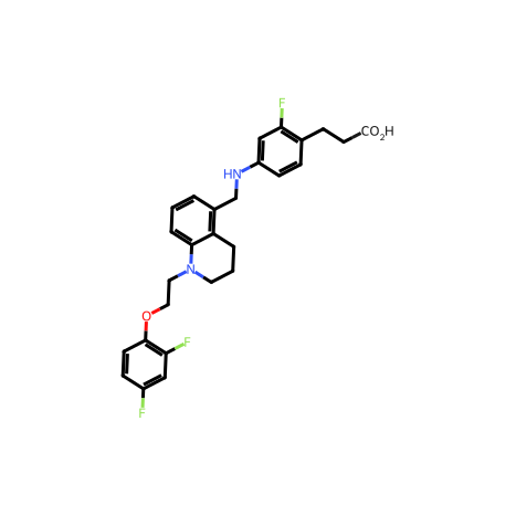 O=C(O)CCc1ccc(NCc2cccc3c2CCCN3CCOc2ccc(F)cc2F)cc1F